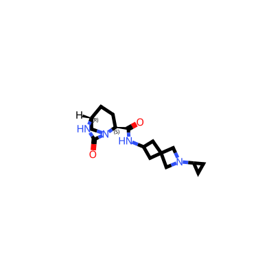 O=C(NC1CC2(C1)CN(C1CC1)C2)[C@@H]1CC[C@@H]2CN1C(=O)N2